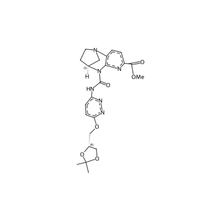 COC(=O)c1ccc2c(n1)N(C(=O)Nc1ccc(OC[C@@H]3COC(C)(C)O3)nn1)[C@H]1CCN2C1